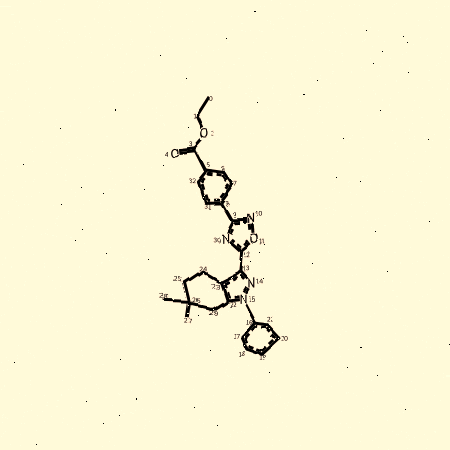 CCOC(=O)c1ccc(-c2noc(-c3nn(-c4ccccc4)c4c3CCC(C)(C)C4)n2)cc1